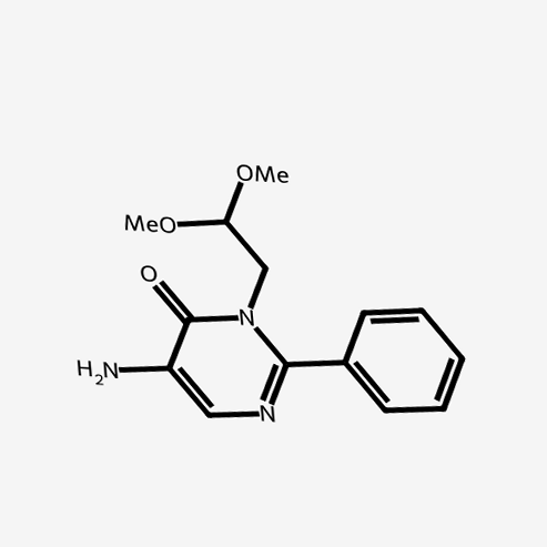 COC(Cn1c(-c2ccccc2)ncc(N)c1=O)OC